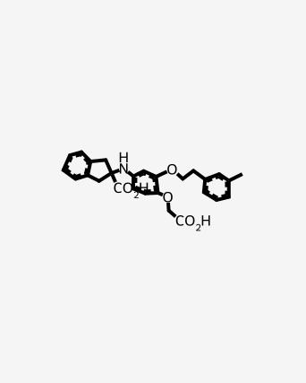 Cc1cccc(CCOc2cc(NC3(C(=O)O)Cc4ccccc4C3)ccc2OCC(=O)O)c1